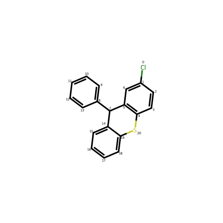 Clc1ccc2c(c1)[C](c1ccccc1)c1ccccc1S2